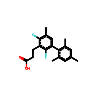 Cc1cc(C)c(-c2cc(C)c(F)c(CCC(=O)O)c2F)c(C)c1